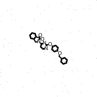 O=S1(=O)c2ccccc2CN1c1ccnc(Oc2ccc(OCc3ccccc3)cc2)n1